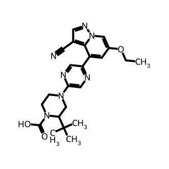 CCOc1cc(-c2cnc(N3CCN(C(=O)O)C(C(C)(C)C)C3)cn2)c2c(C#N)cnn2c1